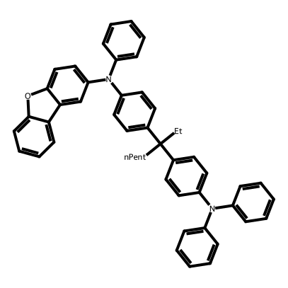 CCCCCC(CC)(c1ccc(N(c2ccccc2)c2ccccc2)cc1)c1ccc(N(c2ccccc2)c2ccc3oc4ccccc4c3c2)cc1